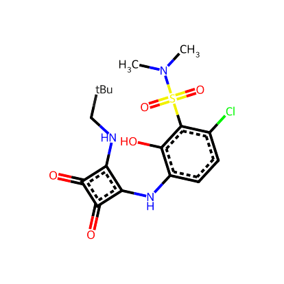 CN(C)S(=O)(=O)c1c(Cl)ccc(Nc2c(NCC(C)(C)C)c(=O)c2=O)c1O